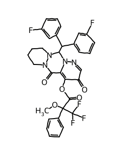 COC(C(=O)Oc1c2n(ncc1=O)C(C(c1cccc(F)c1)c1cccc(F)c1)N1CCCCN1C2=O)(c1ccccc1)C(F)(F)F